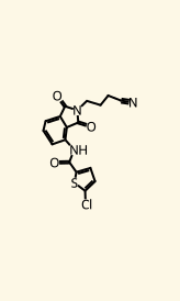 N#CCCCN1C(=O)c2cccc(NC(=O)c3ccc(Cl)s3)c2C1=O